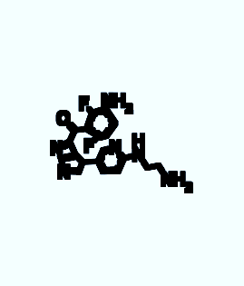 NCCNc1ccc(C2C=NC3=C2C(C(=O)c2c(F)ccc(N)c2F)=N3)cn1